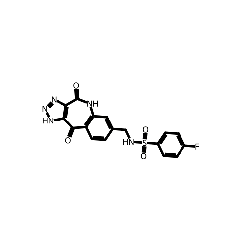 O=c1[nH]c2cc(CNS(=O)(=O)c3ccc(F)cc3)ccc2c(=O)c2[nH]nnc12